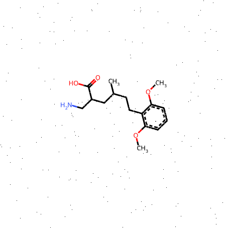 COc1cccc(OC)c1CCC(C)CC(CN)C(=O)O